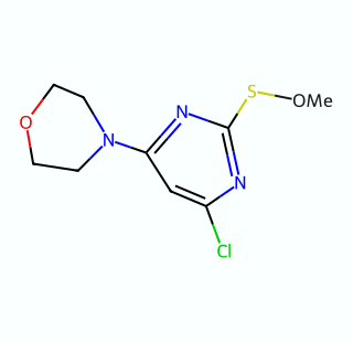 COSc1nc(Cl)cc(N2CCOCC2)n1